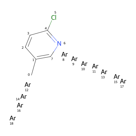 Cc1ccc(Cl)nc1.[Ar].[Ar].[Ar].[Ar].[Ar].[Ar].[Ar].[Ar].[Ar].[Ar].[Ar]